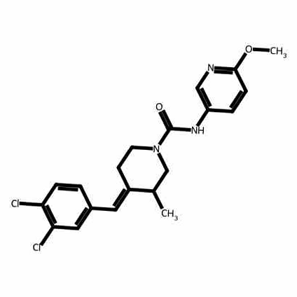 COc1ccc(NC(=O)N2CCC(=Cc3ccc(Cl)c(Cl)c3)C(C)C2)cn1